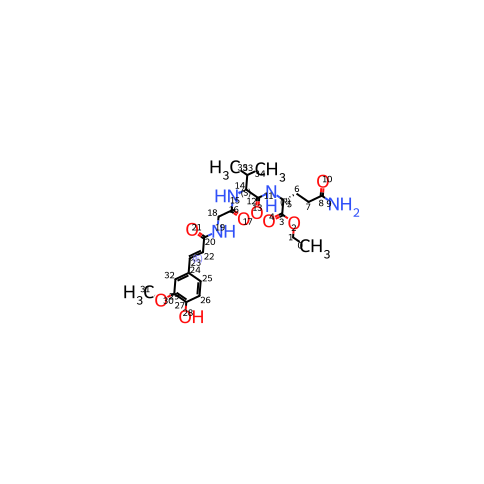 CCOC(=O)[C@@H](CCC(N)=O)NC(=O)[C@@H](NC(=O)CNC(=O)/C=C/c1ccc(O)c(OC)c1)C(C)C